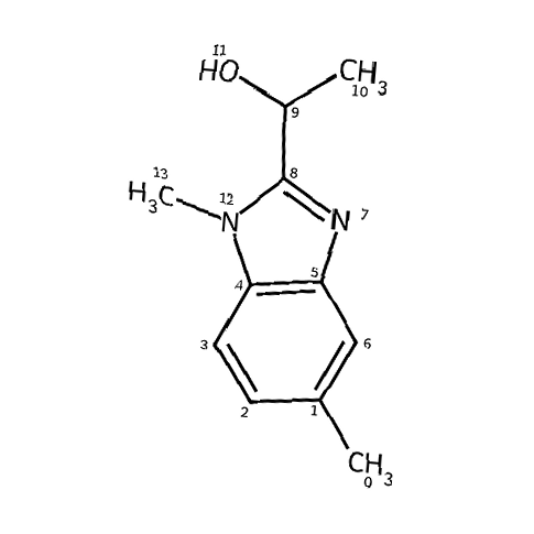 Cc1ccc2c(c1)nc(C(C)O)n2C